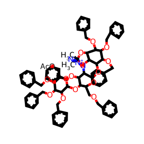 CC(=O)OCC1OC(OC2C(COCc3ccccc3)OC(OC3C(OCc4ccccc4)C(OCc4ccccc4)C(OCc4ccccc4)C4OC(C)(C)OC34)C(N=[N+]=[N-])C2OCc2ccccc2)C(OCc2ccccc2)C(OCc2ccccc2)C1OCc1ccccc1